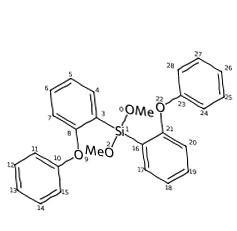 CO[Si](OC)(c1ccccc1Oc1ccccc1)c1ccccc1Oc1ccccc1